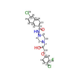 O=C(NN1CCN(C[C@H](O)COc2ccc(Cl)c(F)c2)CC1)c1ccc2cc(Cl)ccc2c1